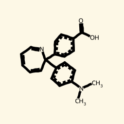 CN(C)c1ccc(C2(c3ccc(C(=O)O)cc3)C=CC=CC=N2)cc1